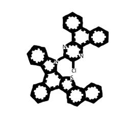 Clc1nc2c3ccccc3c3ccccc3c2nc1-n1c2ccccc2c2c3ccccc3c3c4ccc5ccccc5c4sc3c21